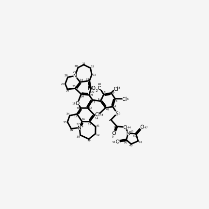 O=C(CSc1c(Cl)c(Cl)c(C(=O)O)c(C2=c3cc4c5c(c3Oc3c2cc2c6c3CCCN6CCCC2)CCC[N+]=5CCCC4)c1Cl)ON1C(=O)CCC1=O